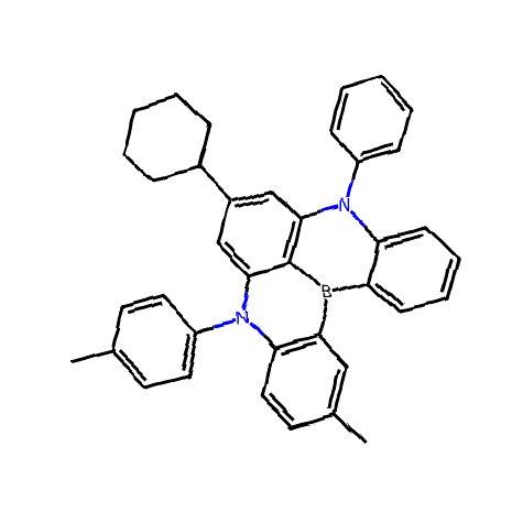 Cc1ccc(N2c3ccc(C)cc3B3c4ccccc4N(c4ccccc4)c4cc(C5CCCCC5)cc2c43)cc1